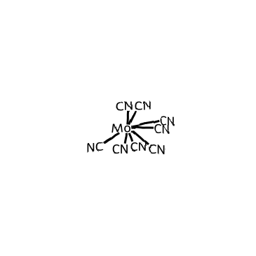 N#[C][Mo]([C]#N)([C]#N)([C]#N)([C]#N)([C]#N)([C]#N)[C]#N